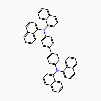 C1=C(c2ccc(N(c3cccc4ccccc34)c3cccc4ccccc34)cc2)CCC(N(c2cccc3ccccc23)c2cccc3ccccc23)=C1